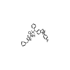 CC(C)(C(=O)Nc1nc(Cc2ccccc2)cs1)C(c1ccccc1)c1ccc2c(cnn2-c2ccc(F)cc2)c1